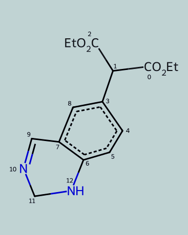 CCOC(=O)C(C(=O)OCC)c1ccc2c(c1)C=NCN2